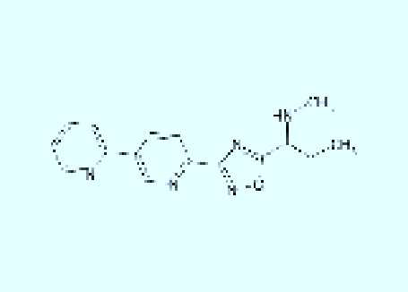 CCC(NC)c1nc(-c2ccc(-c3ccccn3)cn2)no1